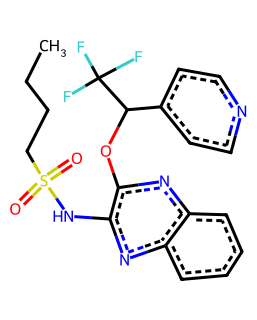 CCCCS(=O)(=O)Nc1nc2ccccc2nc1OC(c1ccncc1)C(F)(F)F